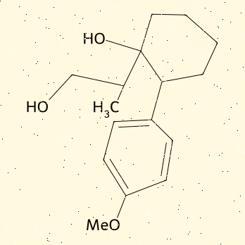 COc1ccc(C2CCCCC2(O)C(C)CO)cc1